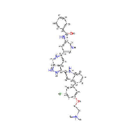 CN(C)CCOc1cc(F)cc(-c2cccc3[nH]c(-c4n[nH]c5cnc(-c6cncc(NC(=O)c7ccccc7)c6)cc45)cc23)c1